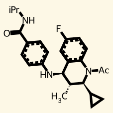 CC(=O)N1c2ccc(F)cc2[C@H](Nc2ccc(C(=O)NC(C)C)cc2)[C@@H](C)[C@@H]1C1CC1